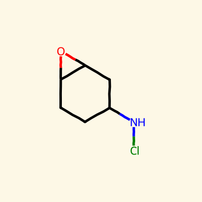 ClNC1CCC2OC2C1